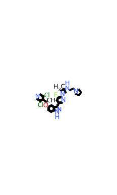 C[C@@H](Oc1ccc2[nH]nc(-c3cnc(N4CC(C)(NCCN5CCCC5)C4)c(F)c3)c2c1)c1c(Cl)cncc1Cl